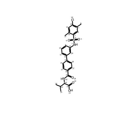 Cc1cc(S(=O)(=O)Nc2cccc(-c3ccc(C(=O)N[C@@H](C(=O)O)C(C)C)cc3)c2)c(C)cc1Cl